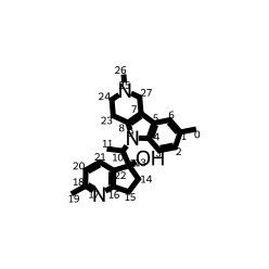 Cc1ccc2c(c1)c1c(n2C(C)C2(O)CCc3nc(C)ccc32)CCN(C)C1